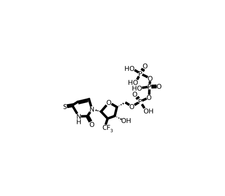 O=c1[nH]c(=S)ccn1[C@@H]1O[C@H](COP(=O)(O)OP(=O)(O)OP(=O)(O)O)[C@H](O)C1C(F)(F)F